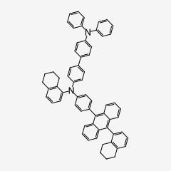 c1ccc(N(c2ccccc2)c2ccc(-c3ccc(N(c4ccc(-c5c6ccccc6c(-c6cccc7c6CCCC7)c6ccccc56)cc4)c4cccc5c4CCCC5)cc3)cc2)cc1